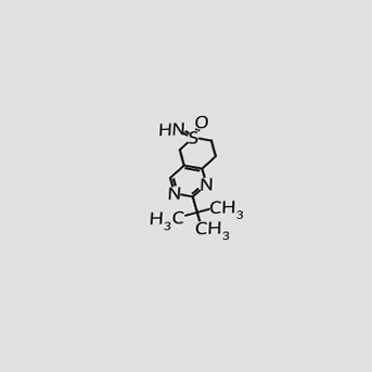 CC(C)(C)c1ncc2c(n1)CCS(=N)(=O)C2